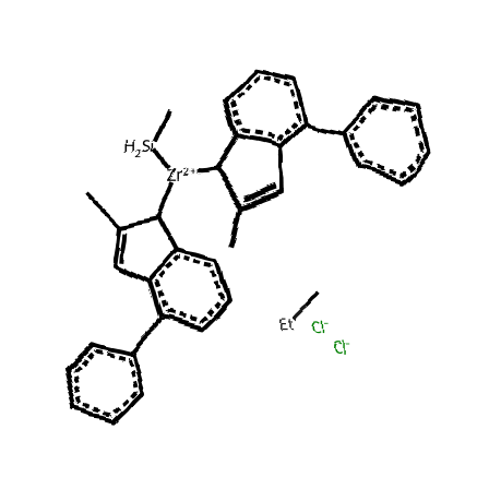 CCC.C[SiH2][Zr+2]([CH]1C(C)=Cc2c(-c3ccccc3)cccc21)[CH]1C(C)=Cc2c(-c3ccccc3)cccc21.[Cl-].[Cl-]